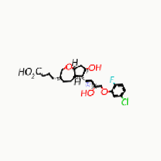 O=C(O)CCC[C@H]1CC[C@@H]2[C@@H](/C=C/[C@@H](O)COc3cc(Cl)ccc3F)[C@H](O)C[C@@H]2OC1